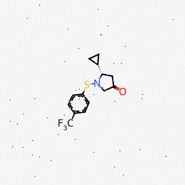 O=C1C[C@@H](C2CC2)N(Sc2ccc(C(F)(F)F)cc2)C1